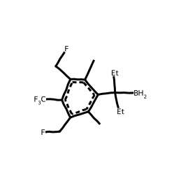 BC(CC)(CC)c1c(C)c(CF)c(C(F)(F)F)c(CF)c1C